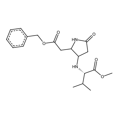 COC(=O)[C@@H](NC1CC(=O)NC1CC(=O)OCc1ccccc1)C(C)C